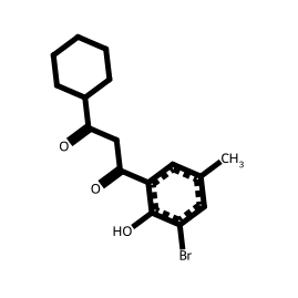 Cc1cc(Br)c(O)c(C(=O)CC(=O)C2CCCCC2)c1